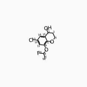 O[C]1CCOc2c(OC(F)F)cc(Cl)cc21